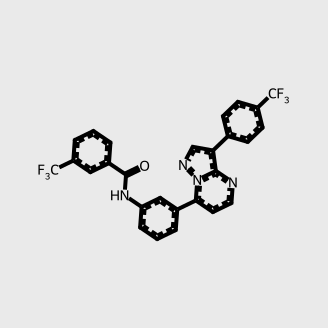 O=C(Nc1cccc(-c2ccnc3c(-c4ccc(C(F)(F)F)cc4)cnn23)c1)c1cccc(C(F)(F)F)c1